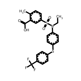 CCN(c1ccc(Sc2ccc(C(F)(F)F)cc2)cc1)S(=O)(=O)c1ccc(C)c(C(=O)O)c1